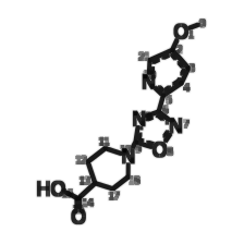 COc1ccc(-c2noc(N3CCC(C(=O)O)CC3)n2)nc1